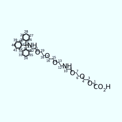 O=C(O)COCCOCCOCCNCCOCCOCCOCCNC(c1ccccc1)(c1ccccc1)c1ccccc1